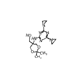 CC1(C)OCC(CO)(Nc2nc(N3CC3)nc(N3CC3)n2)CO1